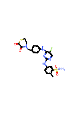 Cc1ccc(Nc2ncc(F)c(Nc3ccc(CN4CCSC(=O)C4=O)cc3)n2)cc1S(N)(=O)=O